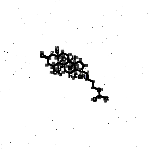 CCC(=O)OCC/C=C/[C@]1(O)CC[C@H]2[C@@H]3CC[C@H]4CC(=O)C[C@H](C)[C@]4(C)[C@H]3CC[C@@]21C